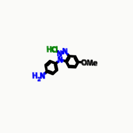 COc1ccc2c(c1)nnn2-c1ccc(N)cc1.Cl